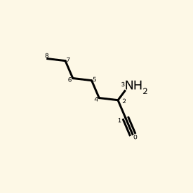 C#CC(N)CCCCC